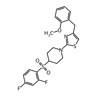 COc1ccccc1Cc1csc(N2CCC(S(=O)(=O)c3ccc(F)cc3F)CC2)n1